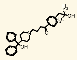 CC(C)(O)Cc1ccc(C(=O)CCCN2CCC(C(O)(c3ccccc3)c3ccccc3)CC2)cc1